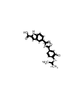 CC(C)Oc1ccc(-c2nc(-c3ccc4[nH]c(C(=O)O)cc4c3)no2)cc1Cl